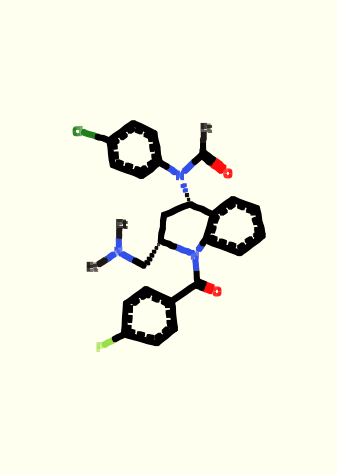 CCC(=O)N(c1ccc(Cl)cc1)[C@H]1C[C@@H](CN(CC)CC)N(C(=O)c2ccc(F)cc2)c2ccccc21